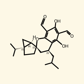 CC(C)C[C@H]1C[C@]2(CC[C@@]3(C(C)C)C[C@@H]23)Oc2c(C=O)c(O)c(C=O)c(O)c21